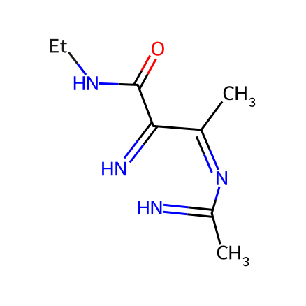 CCNC(=O)C(=N)/C(C)=N\C(C)=N